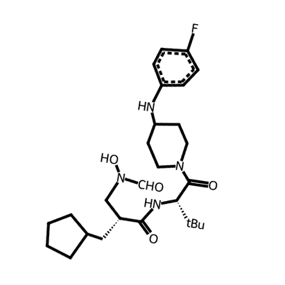 CC(C)(C)[C@H](NC(=O)[C@H](CC1CCCC1)CN(O)C=O)C(=O)N1CCC(Nc2ccc(F)cc2)CC1